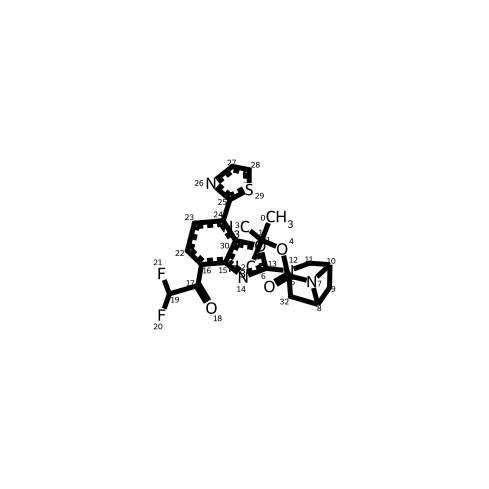 CC(C)(C)OC(=O)N1C2CC1CN(c1nc3c(C(=O)C(F)F)ccc(-c4nccs4)c3o1)C2